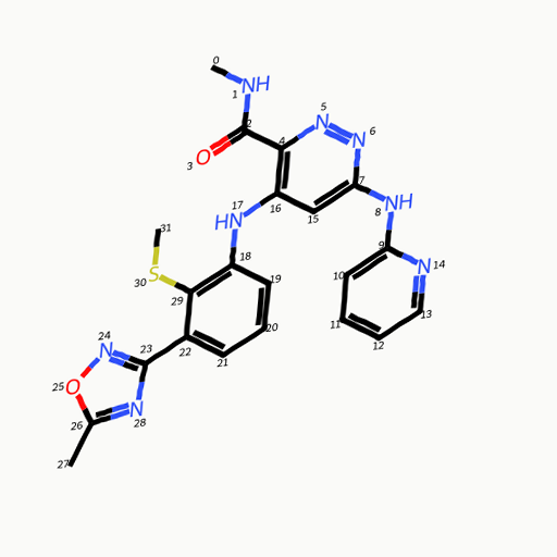 CNC(=O)c1nnc(Nc2ccccn2)cc1Nc1cccc(-c2noc(C)n2)c1SC